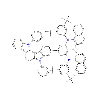 CC(C)(C)c1cc(N2c3cc(-c4ccc5c6c(ccc7c8ccccc8n(-c8ccccc8)c76)n(-c6ccccc6)c5c4)cc4c3B(c3ccc5ccccc5c32)c2ccc3ccccc3c2N4c2cc(C(C)(C)C)cc(C(C)(C)C)c2)cc(C(C)(C)C)c1